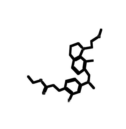 CCOC(=O)CCc1ccc(N(C)Cc2ccc3c(c2C)N(CCOC)CCC3)cc1F